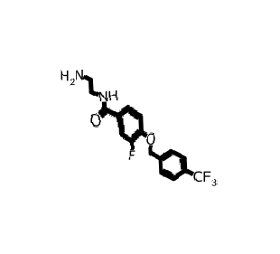 NCCNC(=O)c1ccc(OCc2ccc(C(F)(F)F)cc2)c(F)c1